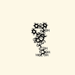 CC(=O)O[C@@]12CO[C@@H]1C[C@@H](OC(=O)COC1OC(CO)C(O)C(O)C1O)[C@@]1(C)C(=O)[C@H](C)C3=C(C)C(OC(=O)[C@H](O)[C@@H](NC(=O)c4ccccc4)c4ccccc4)C[C@](O)(C3)[C@@H](OC(=O)c3ccccc3)C12